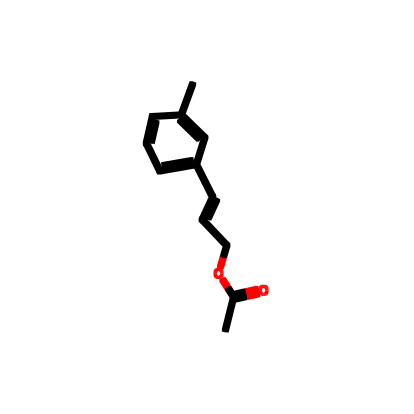 CC(=O)OCC=Cc1cccc(C)c1